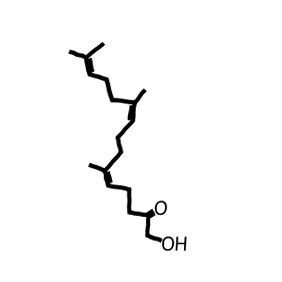 CC(C)=CCC/C(C)=C\CC/C(C)=C\CCC(=O)CO